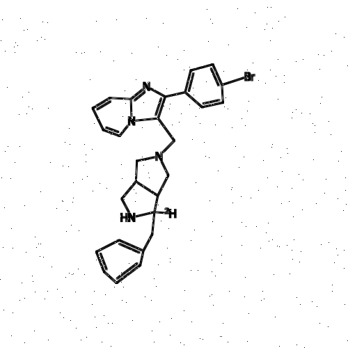 [2H]C1(Cc2ccccc2)NCC2CN(Cc3c(-c4ccc(Br)cc4)nc4ccccn34)CC21